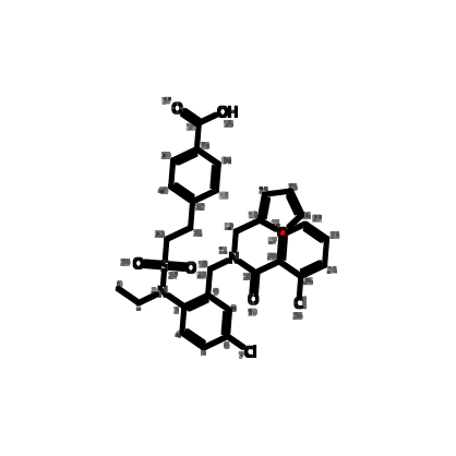 CCN(c1ccc(Cl)cc1CN(Cc1ccco1)C(=O)c1ccccc1Cl)S(=O)(=O)CCc1ccc(C(=O)O)cc1